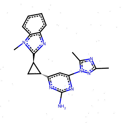 Cc1nc(C)n(-c2cc([C@@H]3C[C@H]3c3nc4ccccc4n3C)nc(N)n2)n1